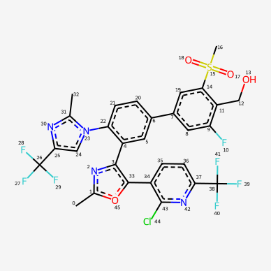 Cc1nc(-c2cc(-c3cc(F)c(CO)c(S(C)(=O)=O)c3)ccc2-n2cc(C(F)(F)F)nc2C)c(-c2ccc(C(F)(F)F)nc2Cl)o1